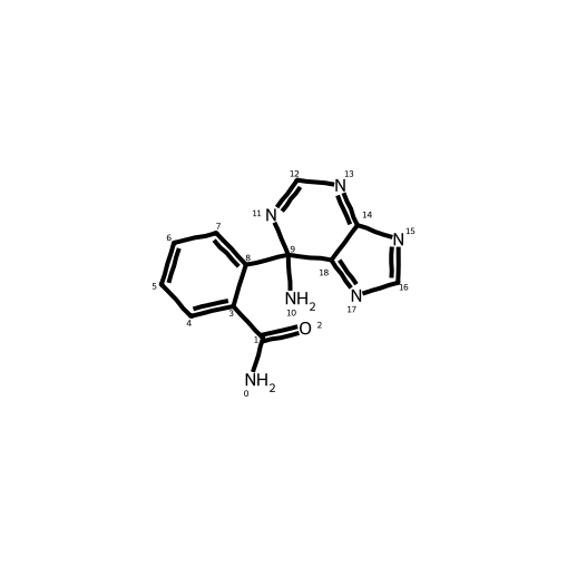 NC(=O)c1ccccc1C1(N)N=CN=C2N=CN=C21